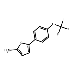 Nc1ccc(-c2ccc(OC(F)(F)F)cc2)s1